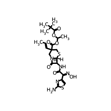 CC=CC1(C(=O)OC(C)OC(=O)C(C)(C)C)CS[C@@H]2C(NC(=O)C(=NO)c3csc(N)n3)C(=O)N2C1